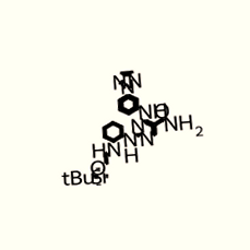 CC(C)(C)[Si](C)(C)OCCN[C@H]1CCCC[C@H]1Nc1ncc(C(N)=O)c(Nc2cccc(-n3nccn3)c2)n1